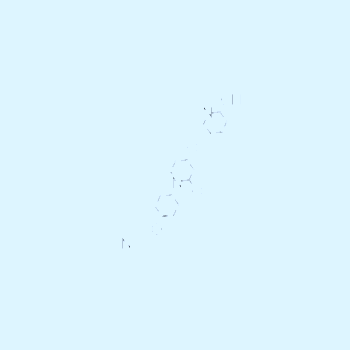 Cc1ccc(COc2ccn(-c3ccc(OCCN4CCCCC4)cc3)c(=O)c2)cn1